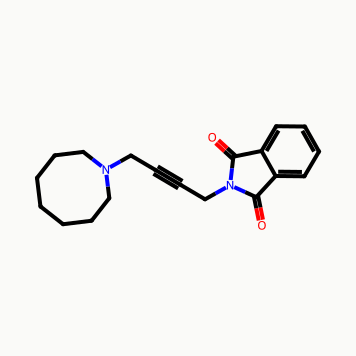 O=C1c2ccccc2C(=O)N1CC#CCN1CCCCCCC1